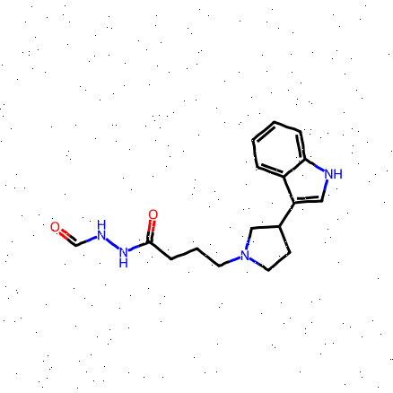 O=CNNC(=O)CCCN1CCC(c2c[nH]c3ccccc23)C1